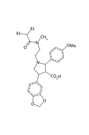 CCC(CC)C(=O)N(C)CCN1CC(c2ccc3c(c2)OCO3)C(C(=O)O)C1c1ccc(OC)cc1